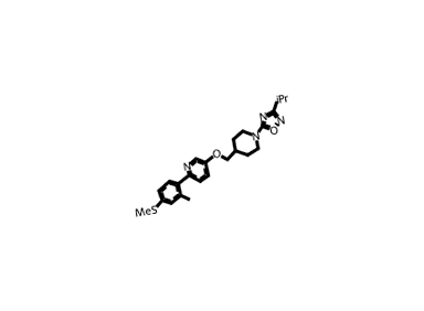 CSc1ccc(-c2ccc(OCC3CCN(c4nc(C(C)C)no4)CC3)cn2)c(C)c1